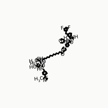 Cc1ncsc1-c1ccc(CNC(=O)[C@@H]2C[C@@H](O)CN2C(=O)[C@@H](NC(=O)CCCCCCCCCCCC(=O)N2CCN(c3ccc(C(=O)Nc4n[nH]c5ccc(Cc6cc(F)cc(F)c6)cc45)c(NC4CCOCC4)c3)CC2)C(C)(C)C)cc1